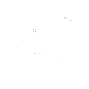 CCC(C)c1cccc2scnc12